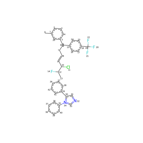 Cc1cccc(B(CC=CC(Cl)C(C)F)c2ccc(C(F)(F)F)cc2)c1.c1ccc(-c2cncn2-c2ccccc2)cc1